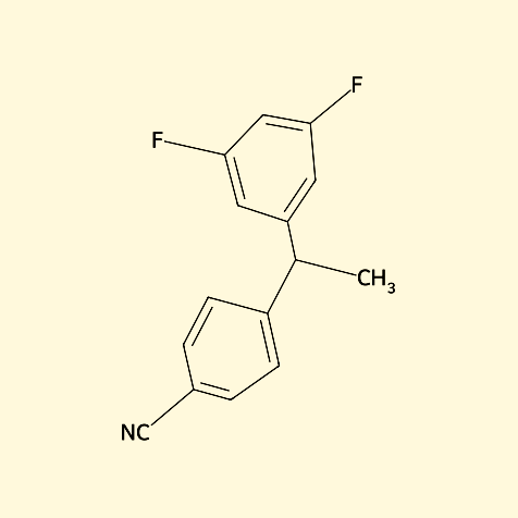 CC(c1ccc(C#N)cc1)c1cc(F)cc(F)c1